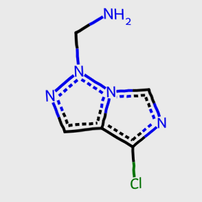 NCn1ncc2c(Cl)ncn21